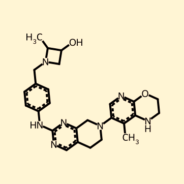 Cc1c(N2CCc3cnc(Nc4ccc(CN5CC(O)C5C)cc4)nc3C2)cnc2c1NCCO2